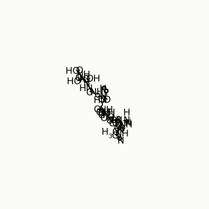 CC(OC(=O)CC[C@H](NC(=O)N[C@@H](CCCCNC(=O)[C@H](Cc1ccc2ccccc2c1)NC(=O)[C@H]1CC[C@H](CNC(=O)CNCCN(CCN(CCNCC(=O)O)CC(=O)O)CC(=O)O)CC1)C(=O)O)C(=O)O)OC(=O)[C@@H]1CCCN1C(=O)[C@H](Cc1cnc[nH]1)NC(=O)[C@@H]1CCCN1C(=O)[C@@H](C)NC(=O)c1ccncc1